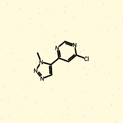 Cn1nncc1-c1cc(Cl)ncn1